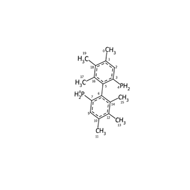 Cc1cc(P)c(-c2c(P)cc(C)c(C)c2C)c(C)c1C